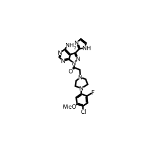 COc1cc(N2CCN(CC(=O)n3nc(-c4ncc[nH]4)c4c(N)ncnc43)CC2)c(F)cc1Cl